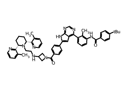 Cc1cccnc1[C@H]1CCC[C@@H](c2ncccc2C)N1CCNC1CN(C(=O)c2ccc(-c3cc4c(-c5cccc(NC(=O)c6ccc(C(C)(C)C)cc6)c5C)ncnc4[nH]3)cc2)C1